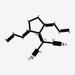 C=CC=C1CCC(=CC=C)C1=C(C#N)C#N